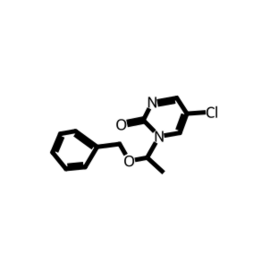 CC(OCc1ccccc1)n1cc(Cl)cnc1=O